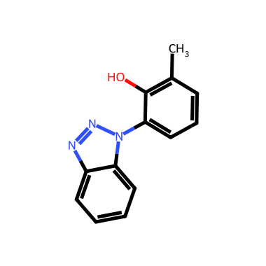 Cc1cccc(-n2nnc3ccccc32)c1O